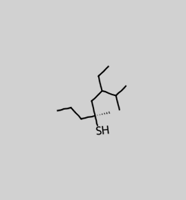 CCC[C@](C)(S)CC(CC)C(C)C